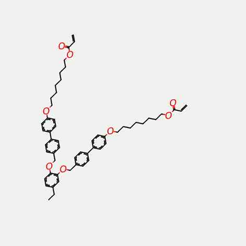 C=CC(=O)OCCCCCCCCOc1ccc(-c2ccc(COc3ccc(CC)cc3OCc3ccc(-c4ccc(OCCCCCCCCOC(=O)C=C)cc4)cc3)cc2)cc1